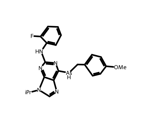 COc1ccc(C[AsH]c2nc(Nc3ccccc3F)nc3c2ncn3C(C)C)cc1